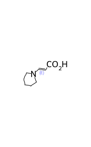 O=C(O)/C=C/N1CCCCC1